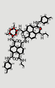 CCNC(=O)c1ccc(C(=O)NC(=O)c2ccc(C(=O)NCC)c3c(C(=O)Nc4ccc(C)cc4)ccc(C(=O)Nc4ccc(C)cc4)c23)c2c(C(=O)Nc3ccc(C)cc3)ccc(C(=O)Nc3ccc(C)cc3)c12